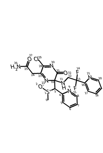 C[S+]([O-])C(c1ccccn1)C1(NCC(F)(F)c2ccccn2)N=C(CC(N)=O)C(Cl)=NC1=O